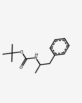 C[C](Cc1ccccc1)NC(=O)OC(C)(C)C